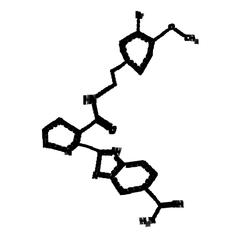 COc1ccc(CCNC(=O)c2cccnc2-c2nc3cc(C(=N)N)ccc3[nH]2)cc1Br